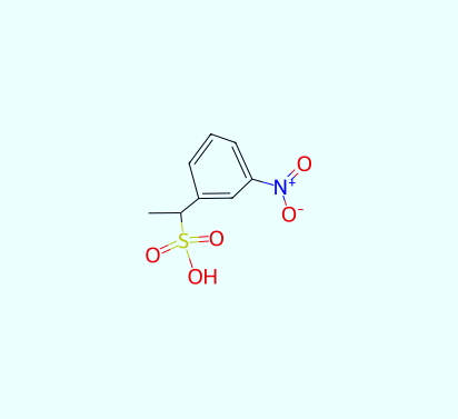 CC(c1cccc([N+](=O)[O-])c1)S(=O)(=O)O